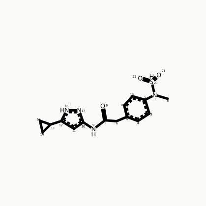 CN(c1ccc(CC(=O)Nc2cc(C3CC3)[nH]n2)cc1)[SH](=O)=O